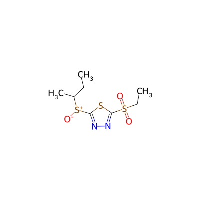 CCC(C)[S+]([O-])c1nnc(S(=O)(=O)CC)s1